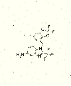 Nc1ccc2c(c1)nc(C(F)(F)F)n2Cc1cccc2c1OC(F)(F)O2